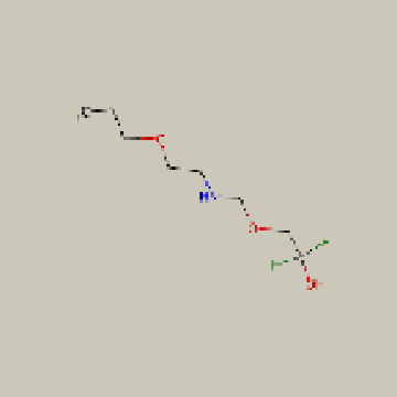 CCCOCCNCOCC(O)(F)F